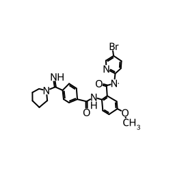 COc1ccc(NC(=O)c2ccc(C(=N)N3CCCCC3)cc2)c(C(=O)[N]c2ccc(Br)cn2)c1